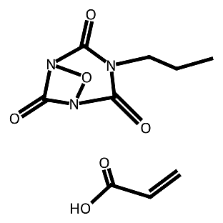 C=CC(=O)O.CCCn1c(=O)n2on(c1=O)c2=O